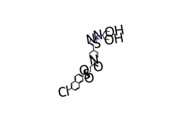 Cn1cc(C2CCN(C(=O)CCS(=O)(=O)c3ccc4cc(Cl)ccc4c3)CC2)s/c1=N\C(CO)CO